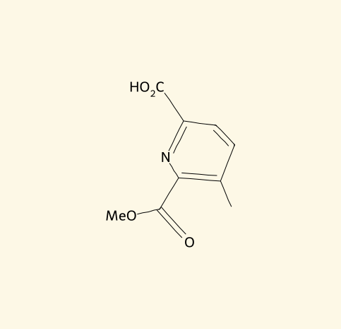 COC(=O)c1nc(C(=O)O)ccc1C